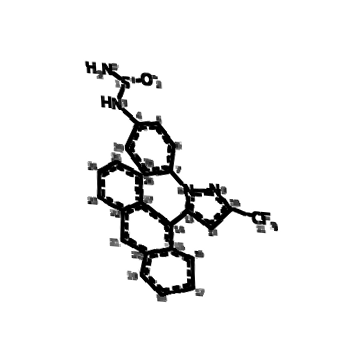 N[S+]([O-])Nc1ccc(-n2nc(C(F)(F)F)cc2-c2c3ccccc3cc3ccccc23)cc1